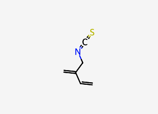 C=CC(=C)CN=C=S